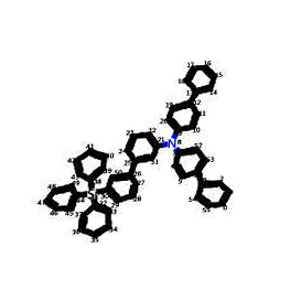 c1ccc(-c2ccc(N(c3ccc(-c4ccccc4)cc3)c3cccc(-c4cccc([Si](c5ccccc5)(c5ccccc5)c5ccccc5)c4)c3)cc2)cc1